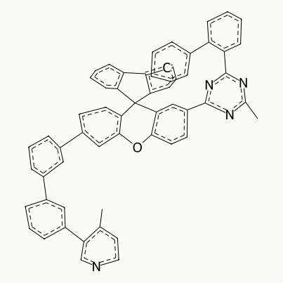 Cc1nc(-c2ccc3c(c2)C2(c4ccc(-c5cccc(-c6cccc(-c7cnccc7C)c6)c5)cc4O3)c3ccccc3-c3ccccc32)nc(-c2ccccc2-c2ccccc2)n1